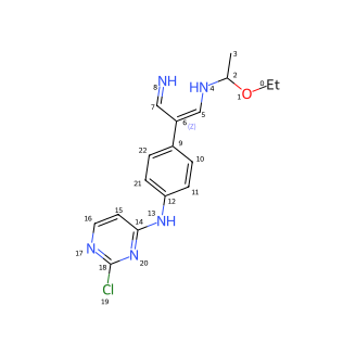 CCOC(C)N/C=C(\C=N)c1ccc(Nc2ccnc(Cl)n2)cc1